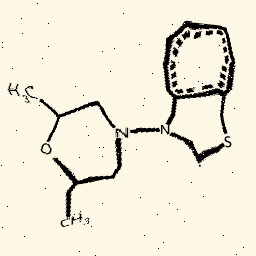 CC1CN(N2[CH]Sc3ccccc32)CC(C)O1